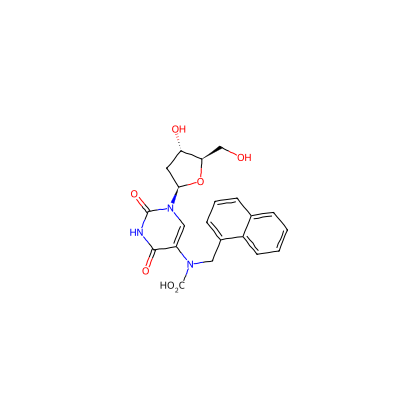 O=C(O)N(Cc1cccc2ccccc12)c1cn([C@H]2C[C@H](O)[C@@H](CO)O2)c(=O)[nH]c1=O